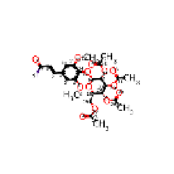 COc1cc(C=CC(=O)I)cc(OC)c1O[C@@H]1O[C@H](COC(C)=O)[C@@H](OC(C)=O)[C@H](OC(C)=O)[C@H]1OC(C)=O